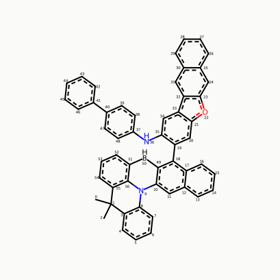 CC1(C)c2ccccc2N2c3cc4ccccc4c(-c4cc5oc6cc7ccccc7cc6c5cc4Nc4ccc(-c5ccccc5)cc4)c3Bc3cccc1c32